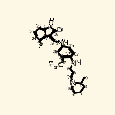 CC1CCCCN1CCCNc1ccc(NC=C2C(=O)Nc3cccc(F)c32)cc1C(F)(F)F